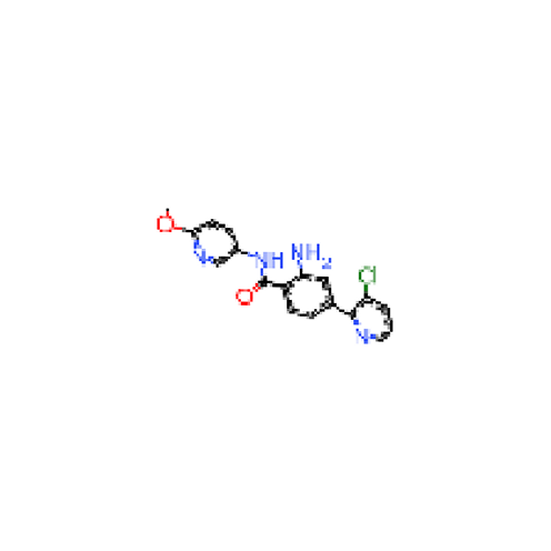 COc1ccc(NC(=O)c2ccc(-c3ncccc3Cl)cc2N)cn1